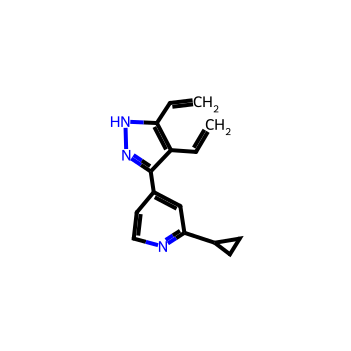 C=Cc1[nH]nc(-c2ccnc(C3CC3)c2)c1C=C